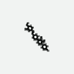 CCC1CCC(OCC2CCC(c3ccc(C4CCC(C)CC4)c(F)c3F)CC2)C=C1F